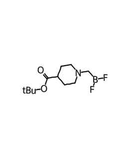 CC(C)(C)OC(=O)C1CCN(CB(F)F)CC1